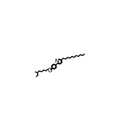 CCCCCCCCCCCc1ccc(-c2ccc(OCCCCCC(C)CC)cc2)nc1